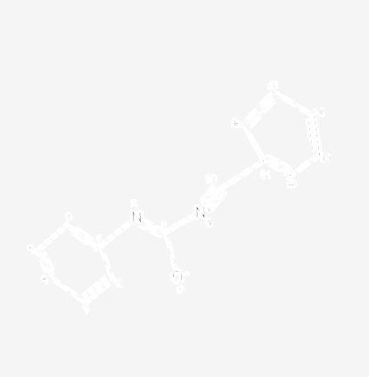 [O-]C(=Nc1ccccc1)[N+]#Cc1ccccc1